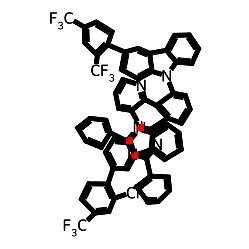 FC(F)(F)c1ccc(-c2ccc3c(c2)c2ccccc2n3-c2cccnc2-c2c(-c3nc(-c4ccccc4)nc(-c4ccccc4)n3)cccc2-n2c3ccccc3c3cc(-c4ccc(C(F)(F)F)cc4C(F)(F)F)ccc32)c(C(F)(F)F)c1